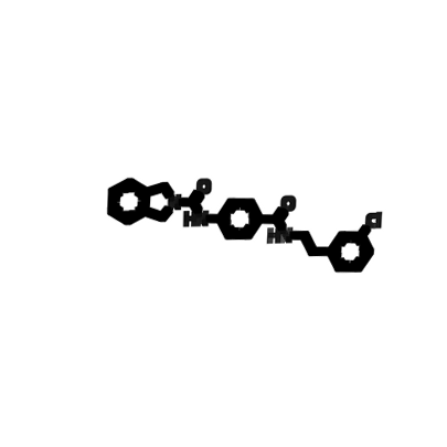 O=C(NCCc1cccc(Cl)c1)c1ccc(NC(=O)N2Cc3ccccc3C2)cc1